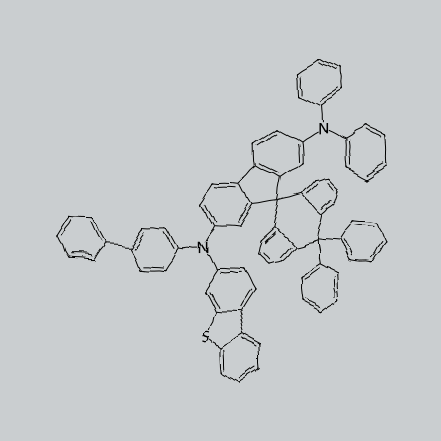 c1ccc(-c2ccc(N(c3ccc4c(c3)C3(c5cc(N(c6ccccc6)c6ccccc6)ccc5-4)c4ccccc4C(c4ccccc4)(c4ccccc4)c4ccccc43)c3ccc4c(c3)sc3ccccc34)cc2)cc1